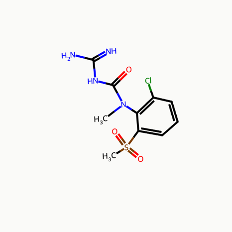 CN(C(=O)NC(=N)N)c1c(Cl)cccc1S(C)(=O)=O